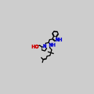 CC(C)=CCCC(C)(C)CCNC(Cc1c[nH]c2ccccc12)CN1CCCC1CO